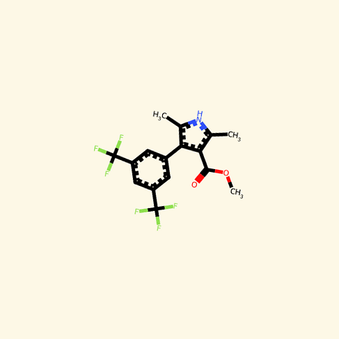 COC(=O)c1c(C)[nH]c(C)c1-c1cc(C(F)(F)F)cc(C(F)(F)F)c1